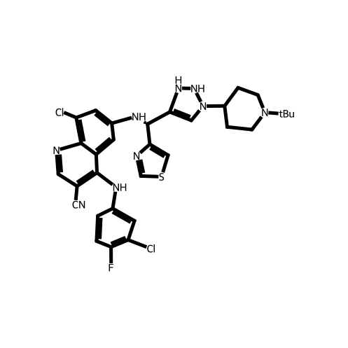 CC(C)(C)N1CCC(N2C=C([C@@H](Nc3cc(Cl)c4ncc(C#N)c(Nc5ccc(F)c(Cl)c5)c4c3)c3cscn3)NN2)CC1